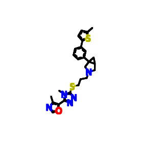 Cc1ccc(-c2cccc(C34CC3CN(CCCSc3nnc(-c5ocnc5C)n3C)C4)c2)s1